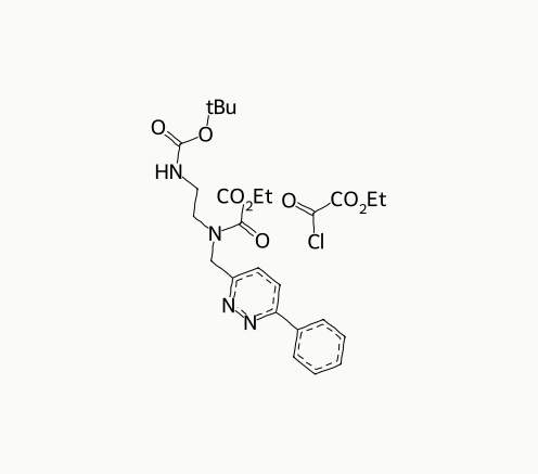 CCOC(=O)C(=O)Cl.CCOC(=O)C(=O)N(CCNC(=O)OC(C)(C)C)Cc1ccc(-c2ccccc2)nn1